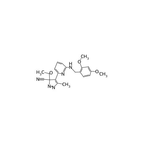 COc1ccc(CNc2cccc(C3=C(C)N=NC3(C#N)C(C)=O)n2)c(OC)c1